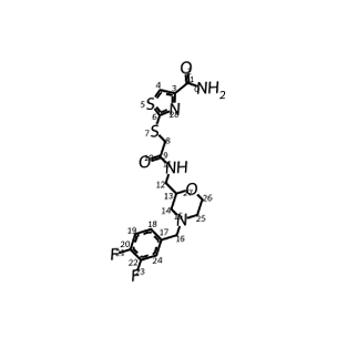 NC(=O)c1csc(SCC(=O)NCC2CN(Cc3ccc(F)c(F)c3)CCO2)n1